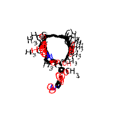 CO[C@H]1C[C@@H]2CC[C@@H](C)[C@@](O)(O2)C(=O)C(=O)N2CCCC[C@H]2C(=O)O[C@H]([C@H](C)C[C@@H]2CC[C@@H](OC(=O)Oc3ccc([N+](=O)[O-])cc3)[C@H](OC)C2)C[C@@H](O)[C@H](C)/C=C(\C)[C@@H](OC)[C@@H](OC)C(=O)[C@H](C)C[C@H](C)/C=C/C=C/C=C/1C